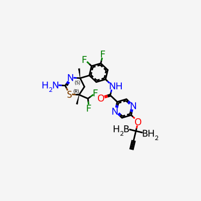 BC(B)(C#C)Oc1cnc(C(=O)Nc2cc(F)c(F)c([C@]3(C)C[C@](C)(C(F)F)SC(N)=N3)c2)cn1